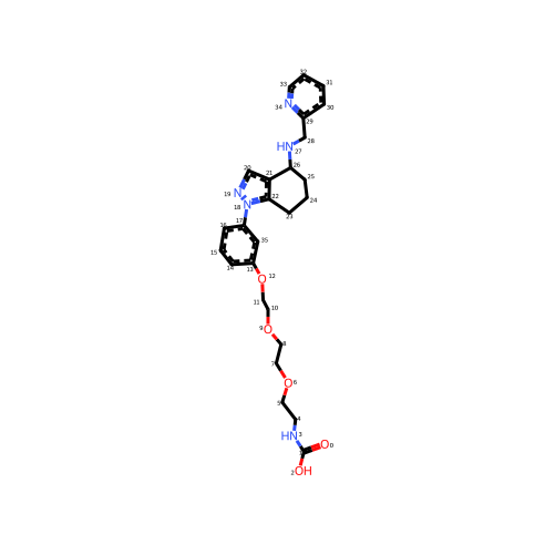 O=C(O)NCCOCCOCCOc1cccc(-n2ncc3c2CCCC3NCc2ccccn2)c1